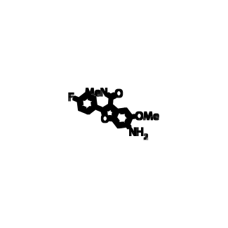 CNC(=O)c1c(-c2ccc(F)cc2)oc2cc(N)c(OC)cc12